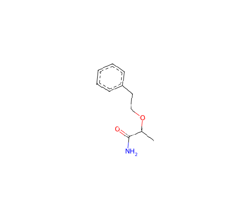 CC(OCCc1ccccc1)C(N)=O